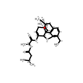 C[C@H](OC(=O)C[C@@H](C)N)C(=O)OC1=CC[C@@]2(O)[C@H]3Cc4ccc(CO)c5c4C2(CCN3C)C1O5